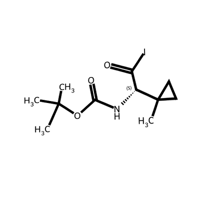 CC(C)(C)OC(=O)N[C@H](C(=O)I)C1(C)CC1